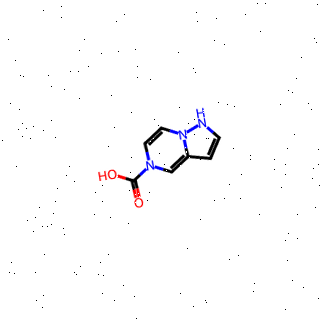 O=C(O)N1C=CN2NC=CC2=C1